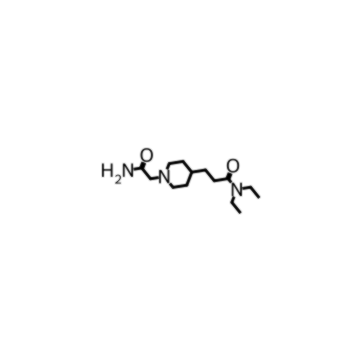 CCN(CC)C(=O)CCC1CCN(CC(N)=O)CC1